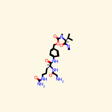 C=NC(=O)[C@H](C(C)C)N(C)C(=O)OCc1ccc(NC(=O)[C@H](CCCNC(N)=O)NC(=O)CN)cc1